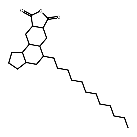 CCCCCCCCCCCCC1CC2CCCC2C2CC3C(=O)OC(=O)C3CC12